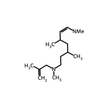 C=C(C)CN(C)CCC(C)CC(C)/C=C\NC